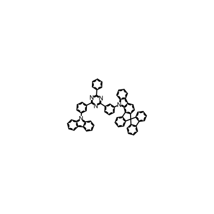 c1ccc(-c2nc(-c3cccc(-n4c5ccccc5c5ccccc54)c3)nc(-c3cccc(-n4c5ccccc5c5ccc6c(c54)-c4ccccc4C64c5ccccc5-c5ccccc54)c3)n2)cc1